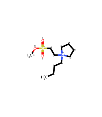 CCCC[N+]1(CCS(=O)(=O)OC)CCCC1